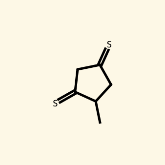 CC1CC(=S)CC1=S